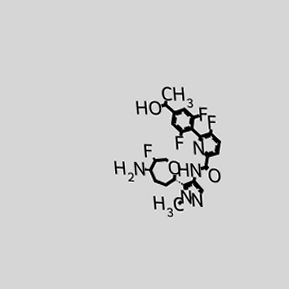 CC(O)c1cc(F)c(-c2nc(C(=O)Nc3cnn(C)c3[C@@H]3CC[C@@H](N)[C@@H](F)CO3)ccc2F)c(F)c1